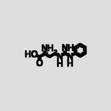 N=C(NCC[C@H](N)C(=O)O)Nc1ccccc1